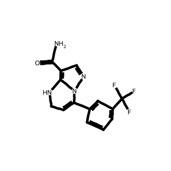 NC(=O)c1cnn2c1NCC=C2c1cccc(C(F)(F)F)c1